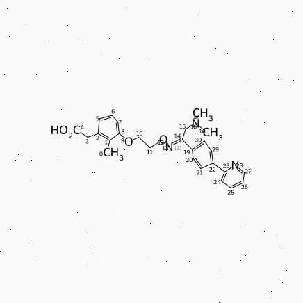 Cc1c(CC(=O)O)cccc1OCCO/N=C(\CN(C)C)c1ccc(-c2ccccn2)cc1